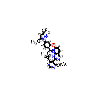 COc1ncnc(C2CC2)c1-c1ncc2ccc(=O)n([C@@H](C)c3ccc(-n4nc(C(F)(F)F)cc4C)cc3)c2n1